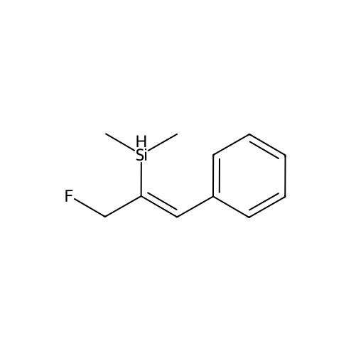 C[SiH](C)C(=Cc1ccccc1)CF